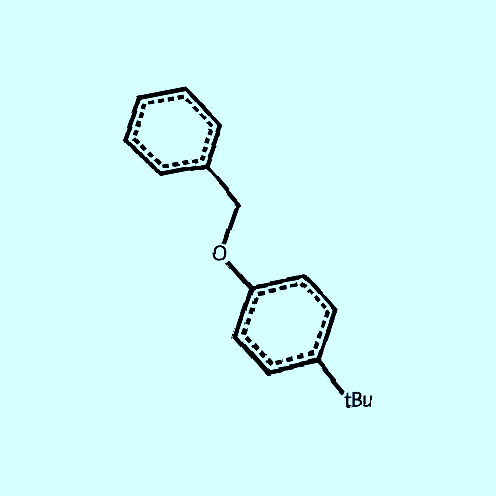 CC(C)(C)c1ccc(OCc2ccccc2)cc1